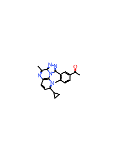 CC(=O)c1ccc(C)c(-c2nnc3c(C)nc4ccc(C5CC5)nc4n23)c1